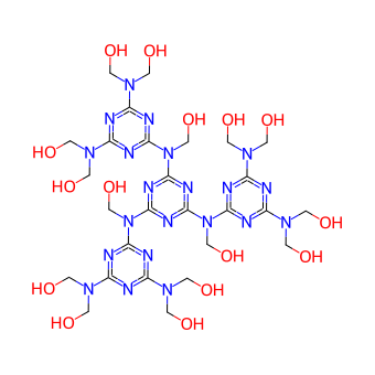 OCN(CO)c1nc(N(CO)CO)nc(N(CO)c2nc(N(CO)c3nc(N(CO)CO)nc(N(CO)CO)n3)nc(N(CO)c3nc(N(CO)CO)nc(N(CO)CO)n3)n2)n1